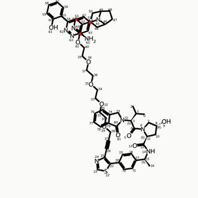 CC(C)[C@@H](C(=O)N1C[C@H](O)C[C@H]1C(=O)N[C@@H](C)c1ccc(-c2scnc2C#CCOCCOCCOCCOCCOc2cc(N3C4CCC3CN(c3cc(-c5ccccc5O)nnc3N)C4)ccn2)cc1)N1Cc2ccccc2C1=O